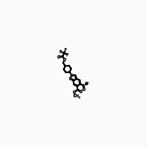 COC(=O)c1cc2nn(C3CCC(COC(=O)C(F)(F)F)CC3)cc2cc1[N+](=O)[O-]